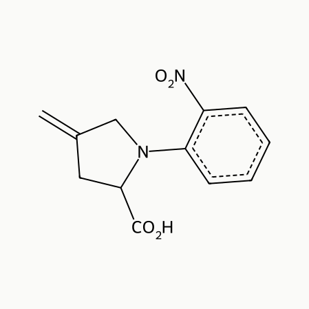 C=C1CC(C(=O)O)N(c2ccccc2[N+](=O)[O-])C1